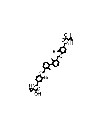 Cc1c(COc2ccc(CNC3(C(=O)O)CC3)cc2Br)cccc1-c1cccc(COc2ccc(CNC3(C(=O)O)CC3)cc2Br)c1C